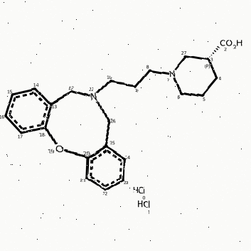 Cl.Cl.O=C(O)[C@@H]1CCCN(CCCN2Cc3ccccc3Oc3ccccc3C2)C1